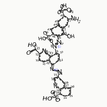 Nc1cc2c(O)c(/N=N/c3ccc(/N=N/c4cnc5c(S(=O)(=O)O)cccc5c4)c4ccc(C(=O)O)nc34)c(S(=O)(=O)O)cc2cc1S(=O)(=O)O